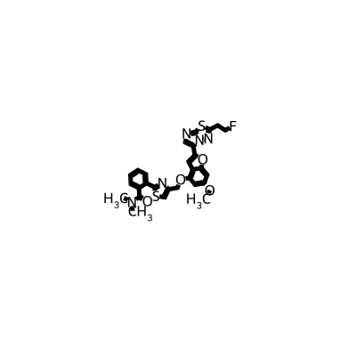 COc1cc(OCc2csc(-c3ccccc3C(=O)N(C)C)n2)c2cc(-c3cnc4sc(CCF)nn34)oc2c1